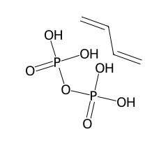 C=CC=C.O=P(O)(O)OP(=O)(O)O